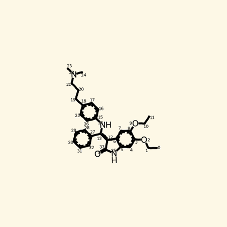 CCOc1cc2c(cc1OCC)C(=C(Nc1ccc(CCCN(C)C)cc1)c1ccccc1)C(=O)N2